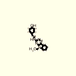 CCn1c2ccccc2c2nnc(NN=Cc3ccc(O)cc3)nc21